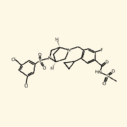 CS(=O)(=O)NC(=O)c1cc(C2CC2)c(CN2C[C@@H]3C[C@H]2CN3S(=O)(=O)c2cc(Cl)cc(Cl)c2)cc1F